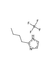 CCCCc1ncc[nH]1.F[B-](F)(F)F